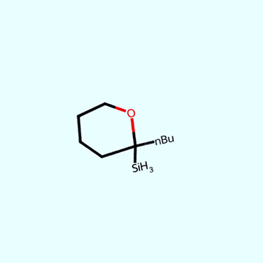 CCCCC1([SiH3])CCCCO1